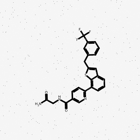 NC(=O)CNC(=O)c1ccc(-c2cccc3cc(Cc4cccc(C(F)(F)F)c4)sc23)nc1